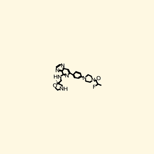 CC(F)C(=O)N1CCN(c2ccc(-c3cc4nccnc4c(NC[C@@]4(C)CNCCO4)n3)cc2)CC1